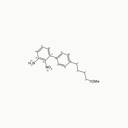 COCCCCc1ccc(-c2cccc(N)c2[N+](=O)[O-])cc1